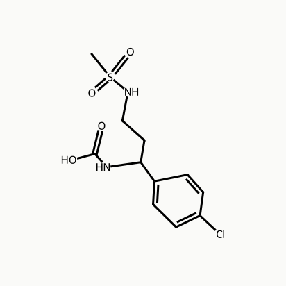 CS(=O)(=O)NCCC(NC(=O)O)c1ccc(Cl)cc1